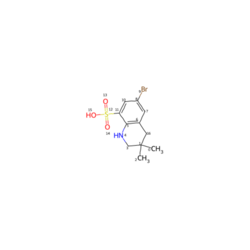 CC1(C)CNc2c(cc(Br)cc2S(=O)(=O)O)C1